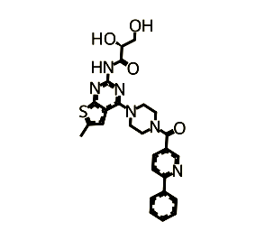 Cc1cc2c(N3CCN(C(=O)c4ccc(-c5ccccc5)nc4)CC3)nc(NC(=O)[C@@H](O)CO)nc2s1